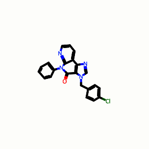 O=c1c2c(ncn2Cc2ccc(Cl)cc2)c2cccnc2n1-c1ccccc1